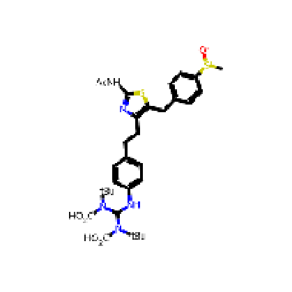 CC(=O)Nc1nc(CCc2ccc(NC(N(C(=O)O)C(C)(C)C)N(C(=O)O)C(C)(C)C)cc2)c(Cc2ccc([S+](C)[O-])cc2)s1